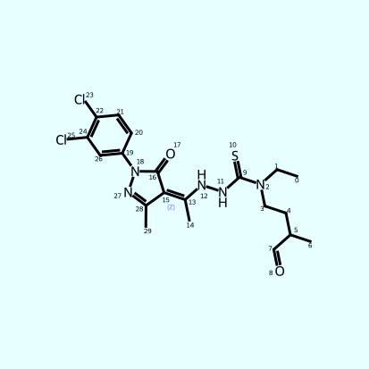 CCN(CCC(C)C=O)C(=S)NN/C(C)=C1\C(=O)N(c2ccc(Cl)c(Cl)c2)N=C1C